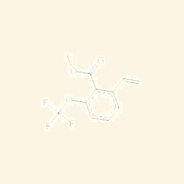 C=Cc1cccc(OC(F)(F)F)c1C(=O)OC